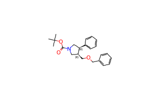 CC(C)(C)OC(=O)N1C[C@H](COCc2ccccc2)[C@H](c2ccccc2)C1